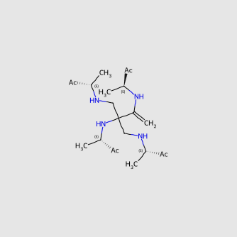 C=C(N[C@@H](C)C(C)=O)C(CN[C@@H](C)C(C)=O)(CN[C@@H](C)C(C)=O)N[C@@H](C)C(C)=O